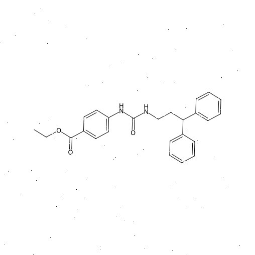 CCOC(=O)c1ccc(NC(=O)NCCC(c2ccccc2)c2ccccc2)cc1